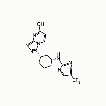 Oc1ccn2c([C@H]3CCC[C@@H](Nc4ncc(C(F)(F)F)cn4)C3)nnc2n1